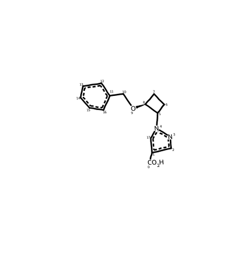 O=C(O)c1cnn(C2CC[C@@H]2OCc2ccccc2)c1